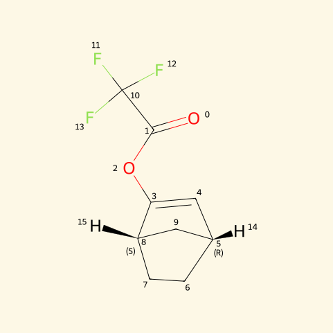 O=C(OC1=C[C@@H]2CC[C@H]1C2)C(F)(F)F